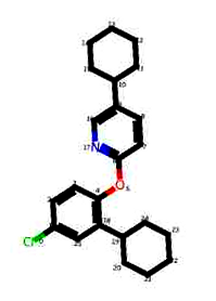 Clc1ccc(Oc2ccc([C]3CCCCC3)cn2)c(C2CCCCC2)c1